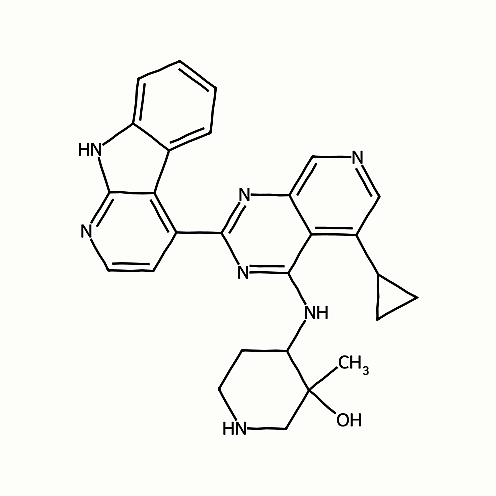 CC1(O)CNCCC1Nc1nc(-c2ccnc3[nH]c4ccccc4c23)nc2cncc(C3CC3)c12